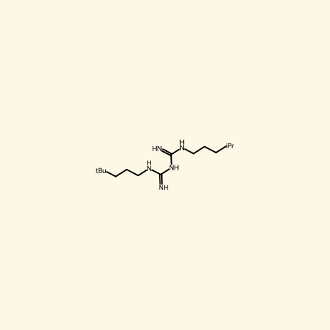 CC(C)CCCNC(=N)NC(=N)NCCCC(C)(C)C